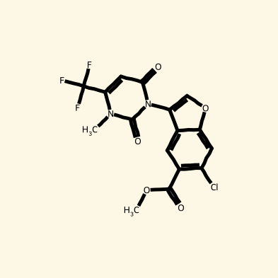 COC(=O)c1cc2c(-n3c(=O)cc(C(F)(F)F)n(C)c3=O)coc2cc1Cl